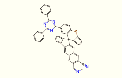 C/N=C\c1cc2cc3c(cc2cc1C#N)C1(c2ccccc2Sc2ccc(-c4nc(-c5ccccc5)nc(-c5ccccc5)n4)cc21)c1ccccc1-3